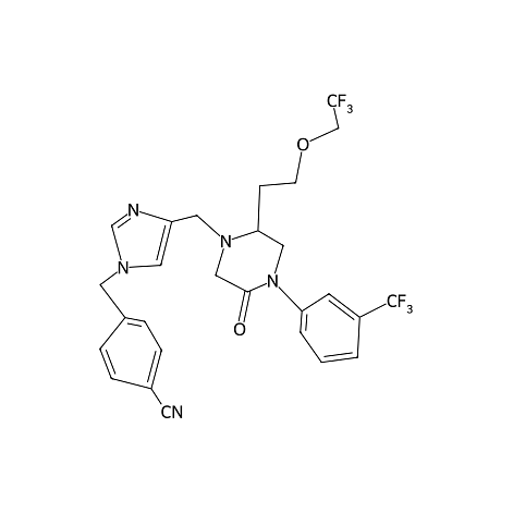 N#Cc1ccc(Cn2cnc(CN3CC(=O)N(c4cccc(C(F)(F)F)c4)CC3CCOCC(F)(F)F)c2)cc1